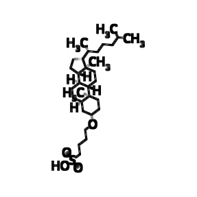 CC(C)CCC[C@@H](C)[C@H]1CC[C@H]2[C@@H]3CC[C@@H]4C[C@@H](OCCCCS(=O)(=O)O)CC[C@]4(C)[C@H]3CC[C@]12C